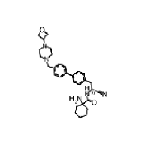 N#C[C@H](Cc1ccc(-c2ccc(CN3CCN(C4COC4)CC3)cc2)cc1)NC(=O)C1(N)CCCCC1